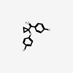 C=C(c1ccc(Cl)cc1)C1(Oc2ccc(Cl)cc2)CC1